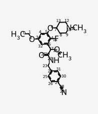 CCOc1cc(OC2CCN(C)CC2)c(F)c(C(OC)C(=O)NCc2ccc(C#N)cc2)c1